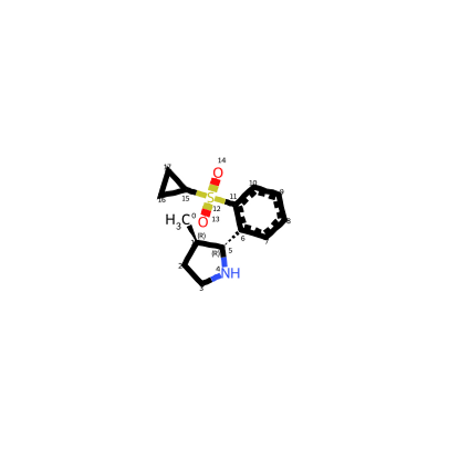 C[C@@H]1CCN[C@H]1c1ccccc1S(=O)(=O)C1CC1